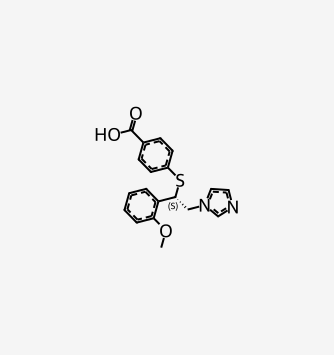 COc1ccccc1[C@@H](Cn1ccnc1)Sc1ccc(C(=O)O)cc1